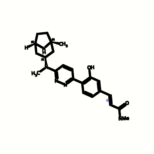 CNC(=O)/C=C/c1ccc(-c2ccc(N(C)[C@H]3C[C@@H]4CC[C@](C)(C3)N4)nn2)c(O)c1